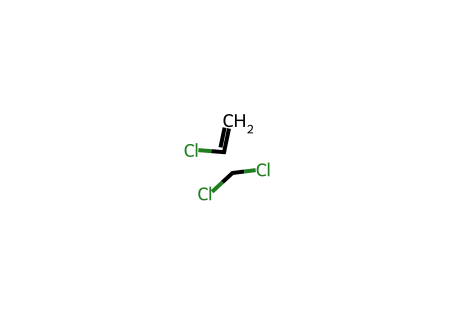 C=CCl.ClCCl